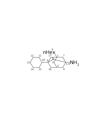 CCCCCCC12CC3CC(N)(C1)CC(C1CCCCC1)(C3)C2